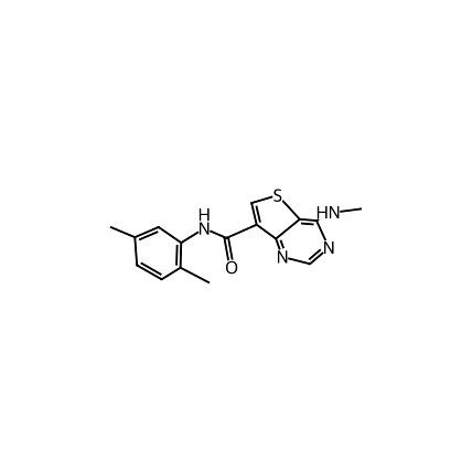 CNc1ncnc2c(C(=O)Nc3cc(C)ccc3C)csc12